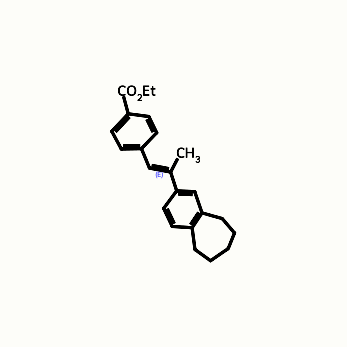 CCOC(=O)c1ccc(/C=C(\C)c2ccc3c(c2)CCCCC3)cc1